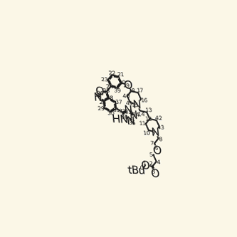 CC(C)(C)OC(=O)CCOCCN1CCC(CCN2CCC(Oc3cccc(-c4onc5ccc(-c6nnn[nH]6)cc45)c3)CC2)CC1